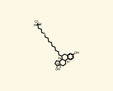 C[C@]12CC[C@@H]3c4ccc(O)cc4CC(CCCCCCCCCSCCCC(F)(F)C(F)(F)F)[C@H]3[C@@H]1CC[C@@H]2O